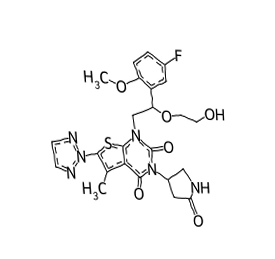 COc1ccc(F)cc1C(Cn1c(=O)n(C2CNC(=O)C2)c(=O)c2c(C)c(-n3nccn3)sc21)OCCO